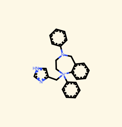 c1ccc(N2CC[N+](Cc3c[nH]cn3)(c3ccccc3)c3ccccc3C2)cc1